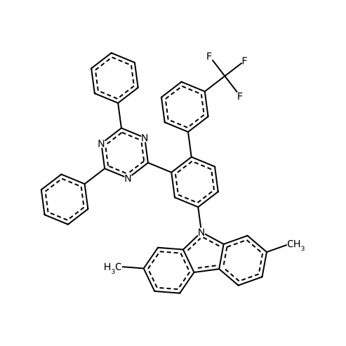 Cc1ccc2c3ccc(C)cc3n(-c3ccc(-c4cccc(C(F)(F)F)c4)c(-c4nc(-c5ccccc5)nc(-c5ccccc5)n4)c3)c2c1